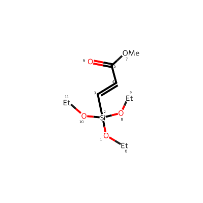 CCO[Si](C=CC(=O)OC)(OCC)OCC